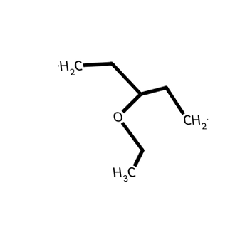 [CH2]CC(C[CH2])OCC